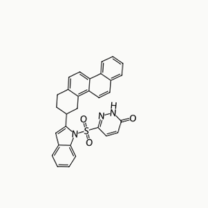 O=c1ccc(S(=O)(=O)n2c(C3CCc4ccc5c(ccc6ccccc65)c4C3)cc3ccccc32)n[nH]1